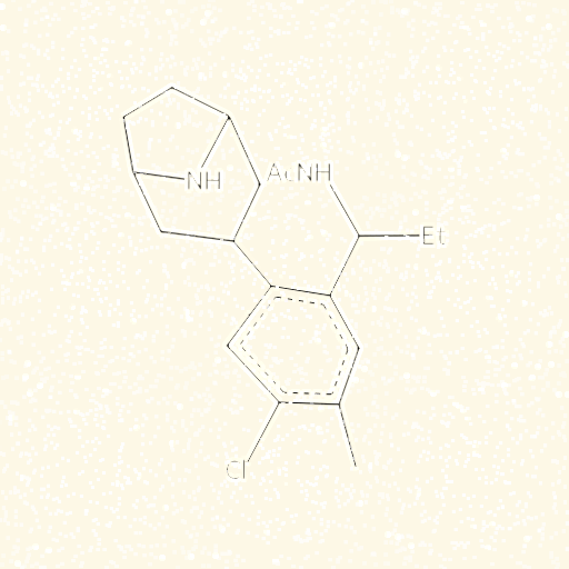 CCC(NC(C)=O)c1cc(C)c(Cl)cc1C1CC2CCC(C1)N2